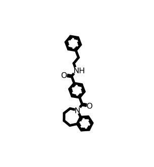 O=C(NCCc1ccccc1)c1ccc(C(=O)N2CCCCc3ccccc32)cc1